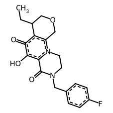 CCC1COCc2c1c(=O)c(O)c1n2CCN(Cc2ccc(F)cc2)C1=O